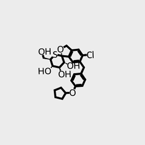 OC[C@H]1S[C@]2(OCc3cc(Cl)c(Cc4ccc(OC5CCCC5)cc4)cc32)[C@H](O)[C@@H](O)[C@@H]1O